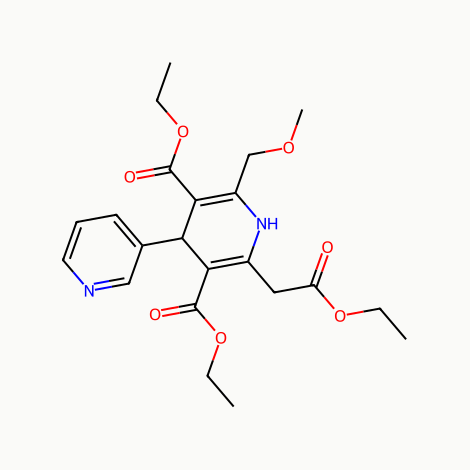 CCOC(=O)CC1=C(C(=O)OCC)C(c2cccnc2)C(C(=O)OCC)=C(COC)N1